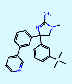 CN1CC(c2cccc(-c3cccnc3)c2)(c2cccc([Si](C)(C)C)c2)N=C1N